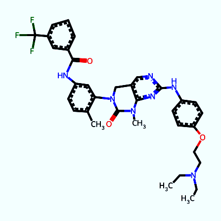 CCN(CC)CCOc1ccc(Nc2ncc3c(n2)N(C)C(=O)N(c2cc(NC(=O)c4cccc(C(F)(F)F)c4)ccc2C)C3)cc1